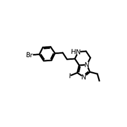 CCc1nc(I)c2n1CCNC2CCc1ccc(Br)cc1